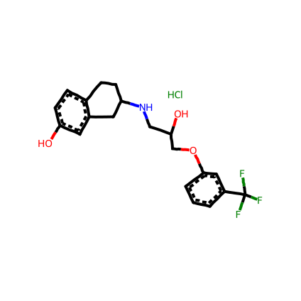 Cl.Oc1ccc2c(c1)CC(NCC(O)COc1cccc(C(F)(F)F)c1)CC2